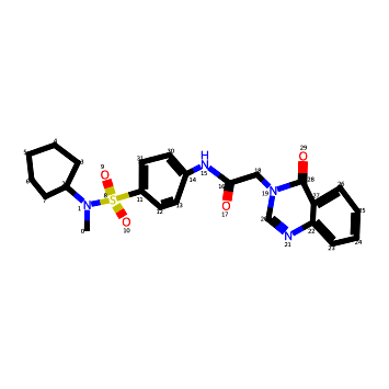 CN(C1CCCCC1)S(=O)(=O)c1ccc(NC(=O)Cn2cnc3ccccc3c2=O)cc1